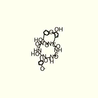 COc1ccc(CC2C(O)NC(C)C(=O)N(C)C3C(=O)N(C)C(CC(=O)NC(C)C(=O)NC(C)C(=O)N2C)Cc2ccc(O)c(c2)Oc2ccc(cc2)C3O)cc1